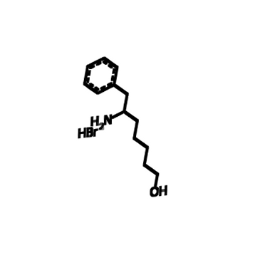 Br.NC(CCCCCO)Cc1ccccc1